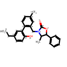 CC1C(c2ccccc2)OC(=O)N1Cc1cc(C(F)(F)F)ccc1-c1cc(CC(=O)O)ccc1O